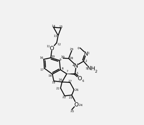 C/N=C(/N)N(C(=O)[C@@H]1c2cc(OCC3CC3)ccc2CC12CCC(OC)CC2)C(C)C